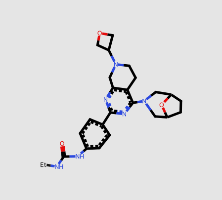 CCNC(=O)Nc1ccc(-c2nc3c(c(N4CC5CCC(C4)O5)n2)CCN(C2COC2)C3)cc1